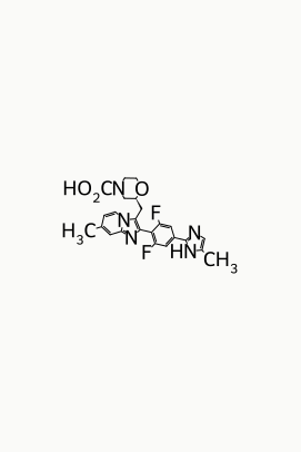 Cc1ccn2c(C[C@H]3CN(C(=O)O)CCO3)c(-c3c(F)cc(-c4ncc(C)[nH]4)cc3F)nc2c1